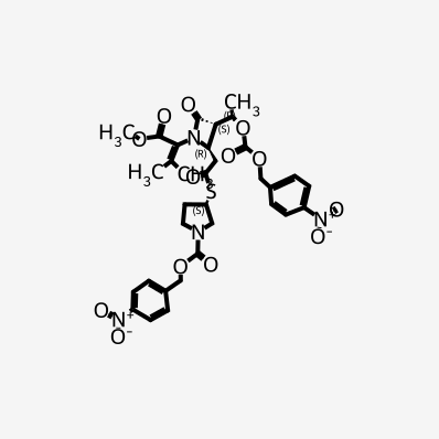 COC(=O)C(=C(C)C)N1C(=O)[C@H]([C@@H](C)OC(=O)OCc2ccc([N+](=O)[O-])cc2)[C@H]1CC(=O)S[C@H]1CCN(C(=O)OCc2ccc([N+](=O)[O-])cc2)C1